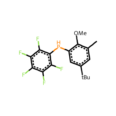 COc1c(C)cc(C(C)(C)C)cc1Pc1c(F)c(F)c(F)c(F)c1F